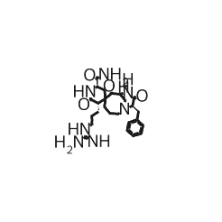 N=C(N)NCCC[C@@H]1C(=O)N[C@@H](C(N)=O)CC12CCCN1C[C@@H](NC(=O)[C@H]1Cc1ccccc1)C2=O